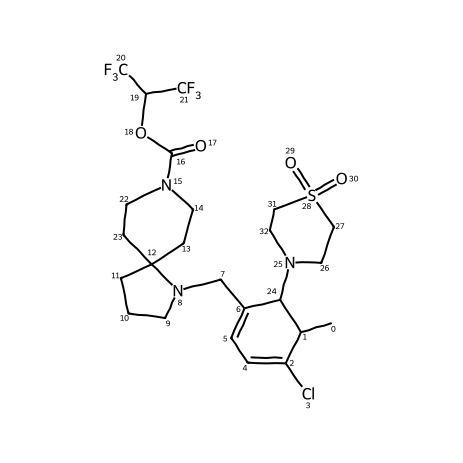 CC1C(Cl)=CC=C(CN2CCCC23CCN(C(=O)OC(C(F)(F)F)C(F)(F)F)CC3)C1N1CCS(=O)(=O)CC1